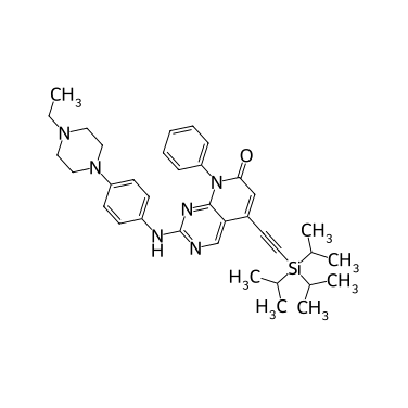 CCN1CCN(c2ccc(Nc3ncc4c(C#C[Si](C(C)C)(C(C)C)C(C)C)cc(=O)n(-c5ccccc5)c4n3)cc2)CC1